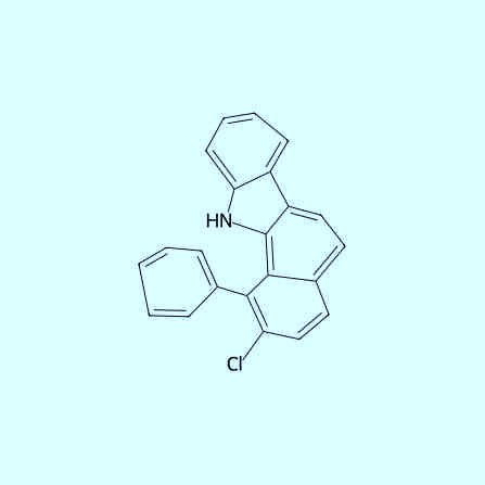 Clc1ccc2ccc3c4ccccc4[nH]c3c2c1-c1ccccc1